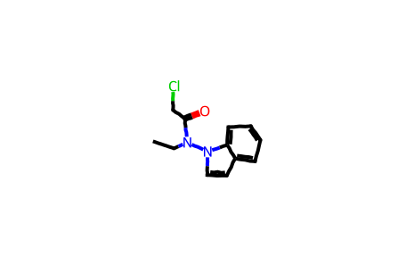 CCN(C(=O)CCl)n1ccc2ccccc21